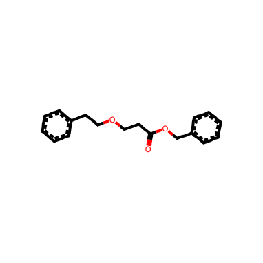 O=C(CCOCCc1ccccc1)OCc1ccccc1